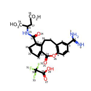 N=C(N)c1ccc2c(c1)CCc1c(C(=O)NC(CC(=O)O)C(=O)O)cccc1C(=O)O2.O=C(O)C(F)(F)F